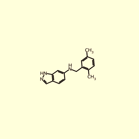 Cc1ccc(C)c(CNc2ccc3cn[nH]c3c2)c1